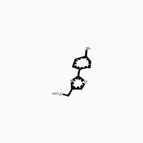 CCOC(=O)Cc1coc(-c2ccc(C(C)(C)C)cc2)n1